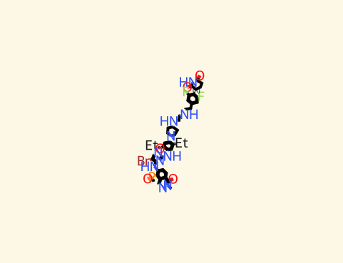 CCOc1cc(N2CCC(NCCNCCc3cc(F)c([C@H]4CCC(=O)NC4=O)c(F)c3)CC2)c(CC)cc1Nc1ncc(Br)c(Nc2ccc3c(=O)n(C)ncc3c2P(C)(C)=O)n1